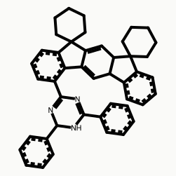 C1=C2C(=CC3C1c1ccccc1C31CCCCC1)C1(CCCCC1)c1cccc(C3=NC(c4ccccc4)NC(c4ccccc4)=N3)c12